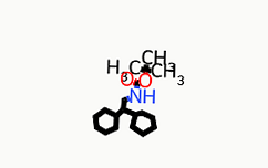 CC(C)(C)OC(=O)NCC(C1CCCCC1)C1CCCCC1